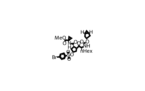 CCCCCC[C@H](NC(=O)O[C@@H]1C[C@@H]2C[C@@H]2C1)C(=O)C1CC(OS(=O)(=O)c2ccc(Br)cc2)C[C@H]1C(=O)NC1(C(=O)OC)CC1